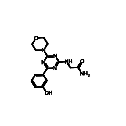 NC(=O)CNc1nc(-c2cccc(O)c2)nc(N2CCOCC2)n1